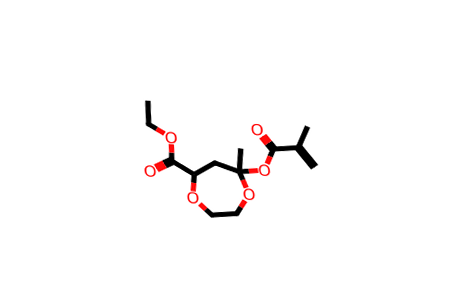 C=C(C)C(=O)OC1(C)CC(C(=O)OCC)OCCO1